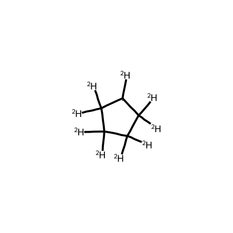 [2H][C]1C([2H])([2H])C([2H])([2H])C([2H])([2H])C1([2H])[2H]